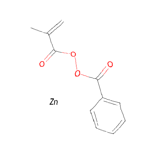 C=C(C)C(=O)OOC(=O)c1ccccc1.[Zn]